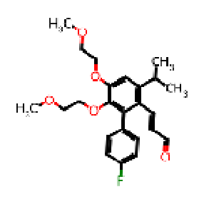 COCCOc1cc(C(C)C)c(/C=C/C=O)c(-c2ccc(F)cc2)c1OCCOC